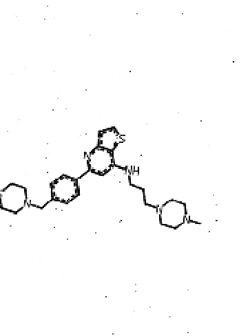 CN1CCN(CCCNc2cc(-c3ccc(CN4CCSCC4)cc3)nc3ccsc23)CC1